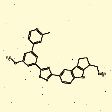 Cc1cc(-c2cc(OC(F)(F)F)cc(-c3nc(-c4ccc5[nH]c6c(c5c4)CCC6CC(=O)O)no3)c2)ccn1